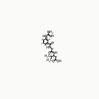 CC(C)C(CC(=O)O)NC(=O)CNC(=O)c1cccc(NC(=N)N)c1